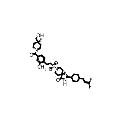 Cc1cc(C(=O)N2CCC(F)(CO)CC2)ccc1CCS(=O)(=O)N1CCC2(CC1)N=C(C1CCC(CC=C(F)F)CC1)NC2=O